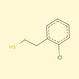 S[CH]Cc1ccccc1Cl